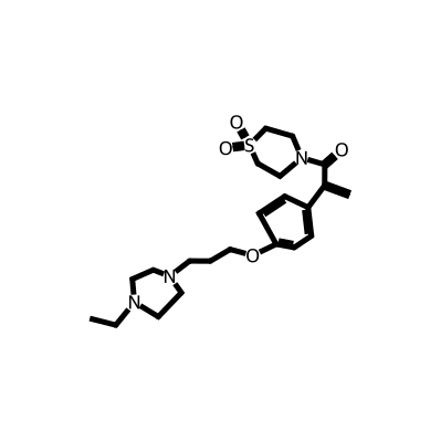 C=C(C(=O)N1CCS(=O)(=O)CC1)c1ccc(OCCCN2CCN(CC)CC2)cc1